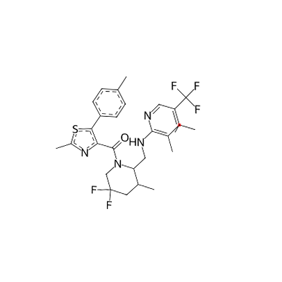 C\C=C(/C=N\C(NCC1C(C)CC(F)(F)CN1C(=O)c1nc(C)sc1-c1ccc(C)cc1)=C(\C)CC)C(F)(F)F